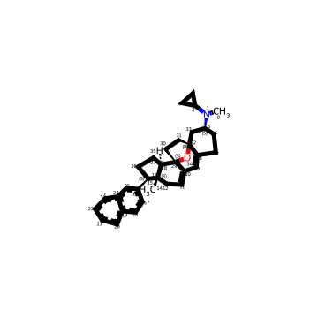 CN(C1CC1)[C@H]1CCC2=CC3=CC[C@]4(C)[C@@H](c5ccc6ccccc6c5)CC[C@H]4[C@@]34CC[C@]2(C1)O4